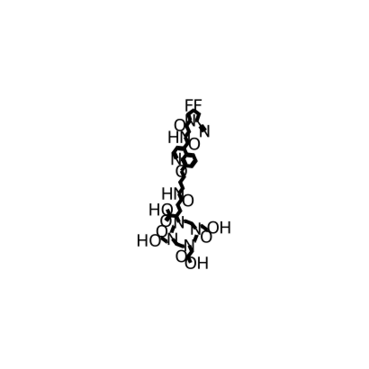 N#C[C@@H]1CC(F)(F)CN1C(=O)CNC(=O)c1ccnc2c(OCCCNC(=O)CCC(C(=O)O)N3CCN(CC(=O)O)CCN(CC(=O)O)CCN(CC(=O)O)CC3)cccc12